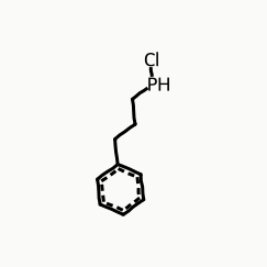 ClPCCCc1ccccc1